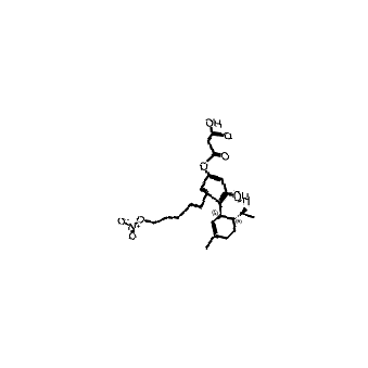 C=C(C)[C@@H]1CCC(C)=C[C@H]1c1c(O)cc(OC(=O)CC(=O)O)cc1CCCCCO[N+](=O)[O-]